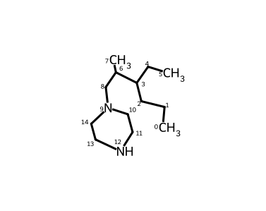 CCCC(CC)C(C)CN1CCNCC1